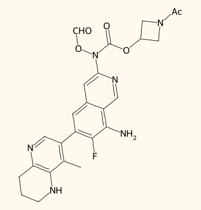 CC(=O)N1CC(OC(=O)N(OC=O)c2cc3cc(-c4cnc5c(c4C)NCCC5)c(F)c(N)c3cn2)C1